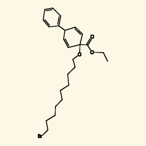 CCOC(=O)C1(OCCCCCCCCCCBr)C=CC(c2ccccc2)C=C1